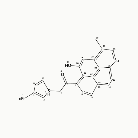 CCCC1=C[SH](CC(=O)c2ccc3ccc4ccc(C)c5cc(O)c2c3c45)C=C1